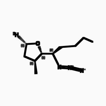 [3H][C@H]1C[C@H](C)[C@@H]([C@@H](CCCC)N=[N+]=[N-])O1